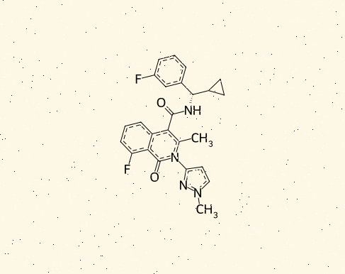 Cc1c(C(=O)N[C@H](c2cccc(F)c2)C2CC2)c2cccc(F)c2c(=O)n1-c1ccn(C)n1